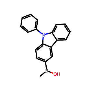 CB(O)c1ccc2c(c1)c1ccccc1n2-c1ccccc1